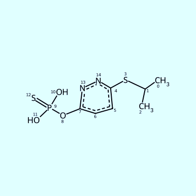 CC(C)Sc1ccc(OP(O)(O)=S)nn1